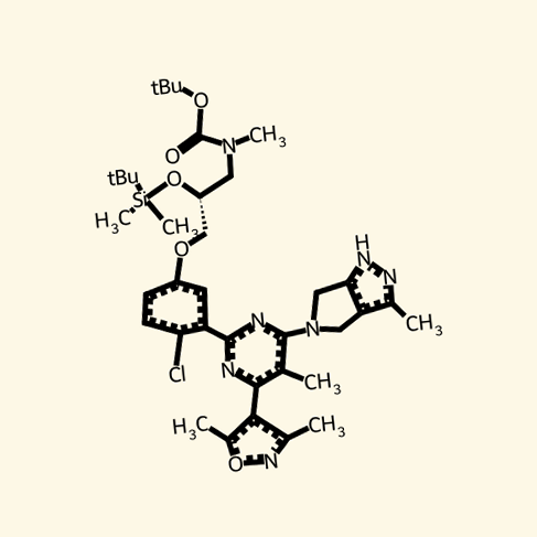 Cc1n[nH]c2c1CN(c1nc(-c3cc(OC[C@@H](CN(C)C(=O)OC(C)(C)C)O[Si](C)(C)C(C)(C)C)ccc3Cl)nc(-c3c(C)noc3C)c1C)C2